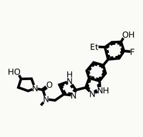 CCc1cc(O)c(F)cc1-c1ccc2c(-c3nc(CN(C)C(=O)N4CCC(O)C4)c[nH]3)n[nH]c2c1